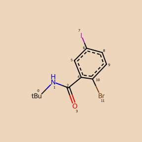 CC(C)(C)NC(=O)c1cc(I)ccc1Br